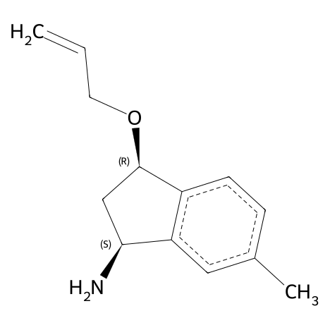 C=CCO[C@@H]1C[C@H](N)c2cc(C)ccc21